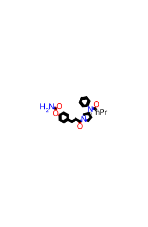 CCCC(=O)N(c1ccccc1)[C@@H]1CCN(C(=O)[CH]Cc2ccc(OC(N)=O)cc2)C1